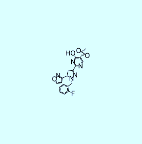 CS(=O)(=O)c1cnc(C2=NN(Cc3ccccc3F)C(c3ccon3)C2)nc1O